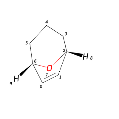 C1=C[C@H]2CCC[C@@H]1O2